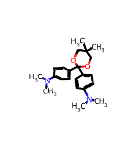 CN(C)c1ccc(C2(c3ccc(N(C)C)cc3)OCC(C)(C)CO2)cc1